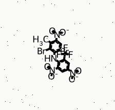 Cc1c([N+](=O)[O-])cc(Br)c(Nc2c([N+](=O)[O-])cc([N+](=O)[O-])cc2C(F)(F)F)c1Br